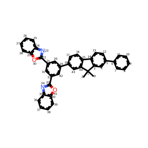 CC1(C)c2cc(-c3ccccc3)ccc2-c2ccc(-c3cc(-c4nc5ccccc5o4)cc(-c4nc5ccccc5o4)c3)cc21